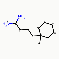 CC1(CCCC(N)N)CCCCC1